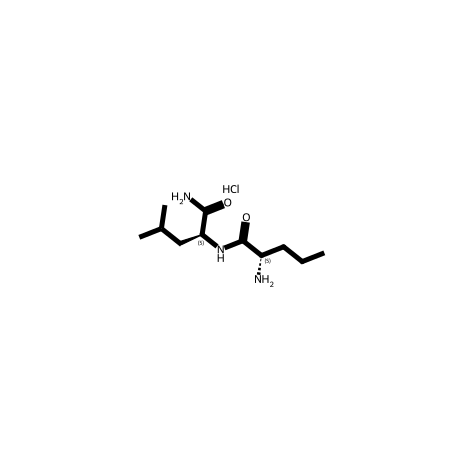 CCC[C@H](N)C(=O)N[C@@H](CC(C)C)C(N)=O.Cl